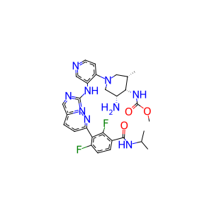 COC(=O)N[C@@H]1[C@H](N)CN(c2ccncc2Nc2ncc3ccc(-c4c(F)ccc(C(=O)NC(C)C)c4F)nn23)C[C@@H]1C